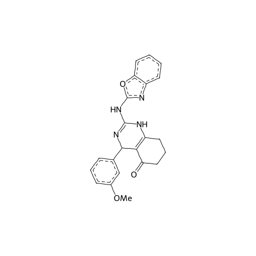 COc1cccc(C2N=C(Nc3nc4ccccc4o3)NC3=C2C(=O)CCC3)c1